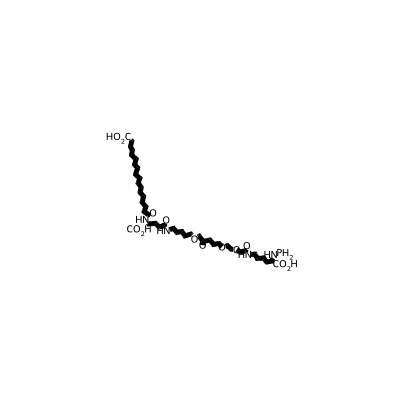 O=C(O)CCCCCCCCCCCCCCCCC(=O)N[C@@H](CCC(=O)NCCCCCOCC(=O)CCCOCCOCC(=O)NCCCC[C@H](NP)C(=O)O)C(=O)O